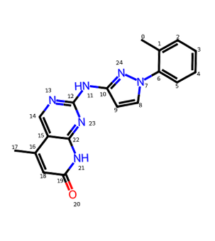 Cc1ccccc1-n1ccc(Nc2ncc3c(C)cc(=O)[nH]c3n2)n1